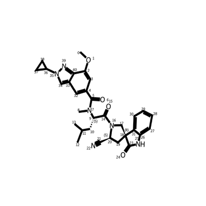 COc1cc(C(=O)N(C)[C@@H](CC(C)C)C(=O)N2C[C@]3(C[C@H]2C#N)C(=O)Nc2ccccc23)cc2cn(C3CC3)nc12